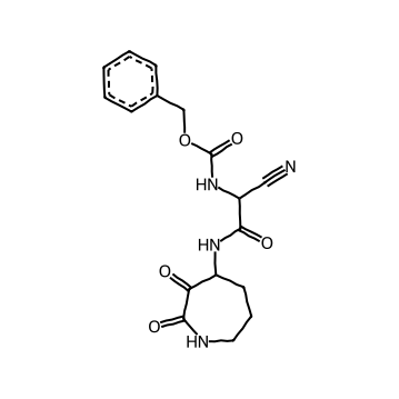 N#CC(NC(=O)OCc1ccccc1)C(=O)NC1CCCNC(=O)C1=O